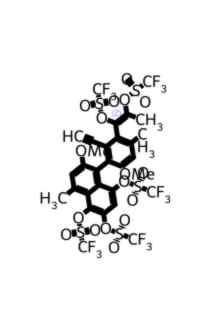 C#Cc1c(/C(OS(=O)(=O)C(F)(F)F)=C(\C)OS(=O)(=O)C(F)(F)F)c(C)cc(OC)c1-c1c(OC)cc(C)c2c(OS(=O)(=O)C(F)(F)F)c(OS(=O)(=O)C(F)(F)F)cc(OS(=O)(=O)C(F)(F)F)c12